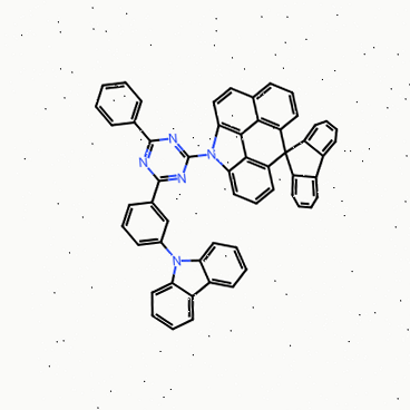 c1ccc(-c2nc(-c3cccc(-n4c5ccccc5c5ccccc54)c3)nc(-n3c4cccc5c4c4c6c(cccc6ccc43)C53c4ccccc4-c4ccccc43)n2)cc1